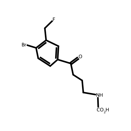 O=C(O)NCCCC(=O)c1ccc(Br)c(CF)c1